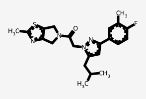 Cc1nc2c(s1)CN(C(=O)Cn1nc(-c3ccc(F)c(C)c3)cc1CC(C)C)C2